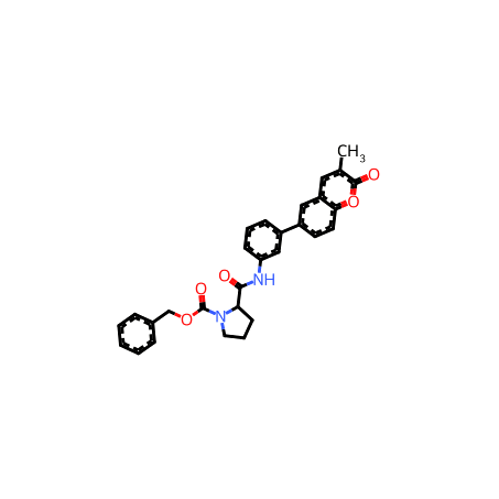 Cc1cc2cc(-c3cccc(NC(=O)C4CCCN4C(=O)OCc4ccccc4)c3)ccc2oc1=O